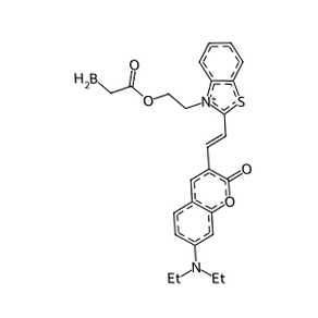 BCC(=O)OCC[n+]1c(/C=C/c2cc3ccc(N(CC)CC)cc3oc2=O)sc2ccccc21